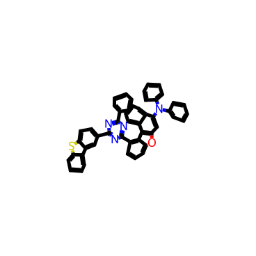 c1ccc(-c2nc(-c3ccc4sc5ccccc5c4c3)nc(-c3cccc4oc5cc(N(c6ccccc6)c6ccccc6)c6ccccc6c5c34)n2)cc1